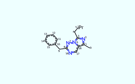 Cc1nc(CC(C)C)n2nc(Cc3ccccc3)ncc12